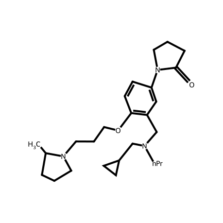 CCCN(Cc1cc(N2CCCC2=O)ccc1OCCCN1CCCC1C)CC1CC1